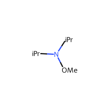 CON(C(C)C)C(C)C